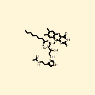 CC(=O)NCCc1c[nH]cn1.CCCCCCCC(=O)O[C@H](Cn1c2nc(=O)[nH]c(=O)c-2nc2cc(C)c(C)cc21)[C@@H](O)[C@@H](O)CO